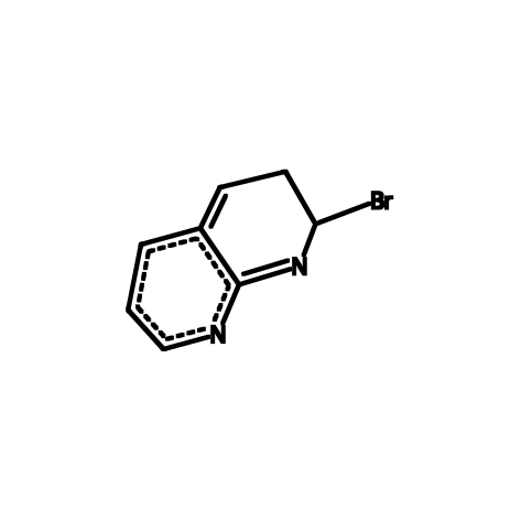 BrC1CC=c2cccnc2=N1